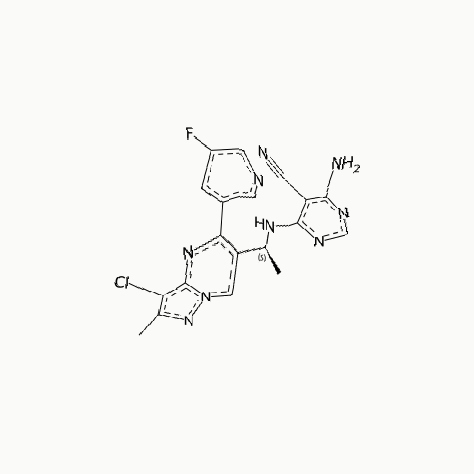 Cc1nn2cc([C@H](C)Nc3ncnc(N)c3C#N)c(-c3cncc(F)c3)nc2c1Cl